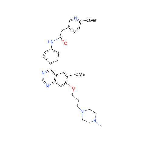 COc1ccc(CC(=O)Nc2ccc(-c3ncnc4cc(OCCCN5CCN(C)CC5)c(OC)cc34)cc2)cn1